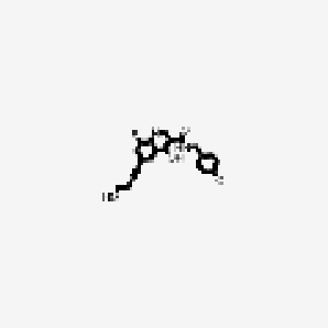 O=C(NCc1ccc(Cl)cc1)c1cnc2c(F)cc(C#CCCO)cc2c1O